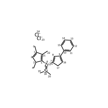 CC1=CC(C)[C]([Zr+2]([C]2=CC(c3ccccc3)=CC2)=[Si](C)C)=C1C.[Cl-].[Cl-]